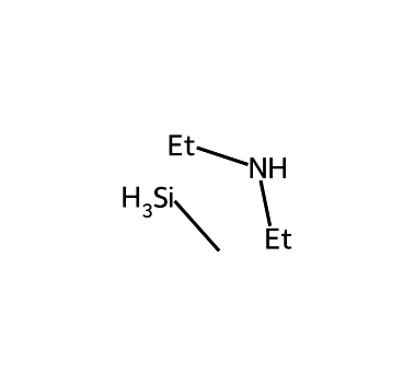 CCNCC.C[SiH3]